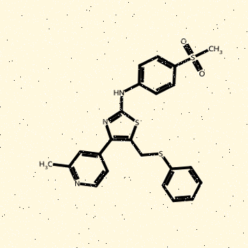 Cc1cc(-c2nc(Nc3ccc(S(C)(=O)=O)cc3)sc2CSc2ccccc2)ccn1